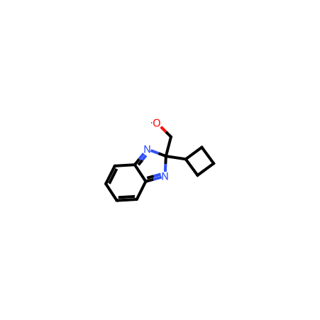 [O]CC1(C2CCC2)N=c2ccccc2=N1